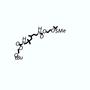 CSC(C)(C)OCCOC(=O)NCCC(C)CC(C)(C)CNC(=O)OCCOC(C)(C)C